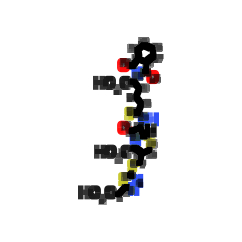 O=C(O)Cc1nnc(SCC2=C(C(=O)O)N3C(=O)C(NC(=S)CCCC(C(=O)O)N4C(=O)c5ccccc5C4=O)[C@@H]3SC2)s1